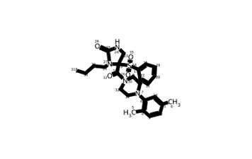 Cc1ccc(C)c(N2CCN(C(=O)C3(S(=O)(=O)c4ccccc4)CNC(=O)N3CCCI)CC2)c1